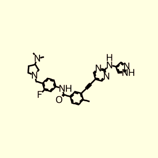 Cc1ccc(C(=O)Nc2ccc(CN3CCC(N(C)C)C3)c(F)c2)cc1C#Cc1cnc(Nc2cn[nH]c2)nc1